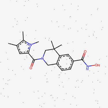 Cc1cc(C(=O)N2Cc3ccc(C(=O)NO)cc3C(C)(C)C2)n(C)c1C